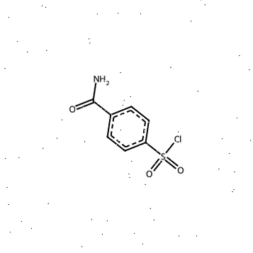 NC(=O)c1ccc(S(=O)(=O)Cl)cc1